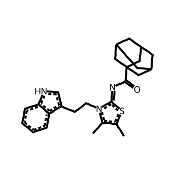 Cc1sc(=NC(=O)C23CC4CC(CC(C4)C2)C3)n(CCc2c[nH]c3ccccc23)c1C